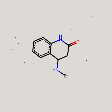 CCNC1CC(=O)Nc2ccccc21